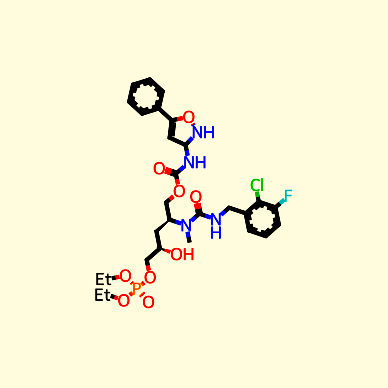 CCOP(=O)(OCC)OC[C@H](O)C[C@@H](COC(=O)NC1C=C(c2ccccc2)ON1)N(C)C(=O)NCc1cccc(F)c1Cl